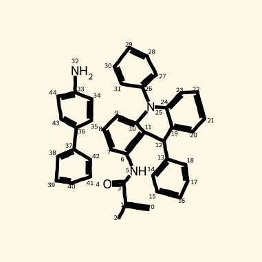 C=C(C)C(=O)Nc1cccc2c1C(c1ccccc1)c1ccccc1N2c1ccccc1.Nc1ccc(-c2ccccc2)cc1